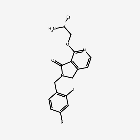 CC[C@@H](N)COc1nccc2c1C(=O)N(Cc1ccc(F)cc1F)C2